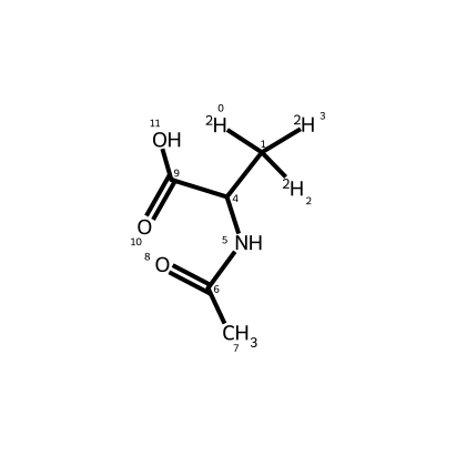 [2H]C([2H])([2H])C(NC(C)=O)C(=O)O